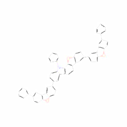 c1ccc(-c2ccc3oc4ccc(-c5ccc6oc7c(ccc8c9cc(-c%10ccc%11oc%12ccc(-c%13ccccc%13)cc%12c%11c%10)ccc9n(-c9ccccc9)c87)c6c5)cc4c3c2)cc1